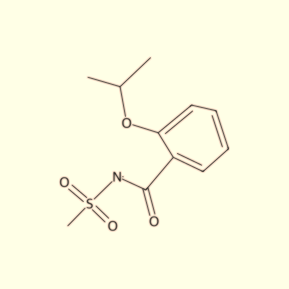 CC(C)Oc1ccccc1C(=O)[N]S(C)(=O)=O